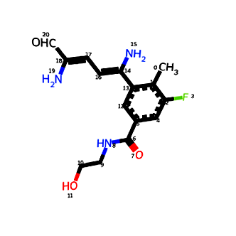 Cc1c(F)cc(C(=O)NCCO)cc1/C(N)=C/C=C(\N)C=O